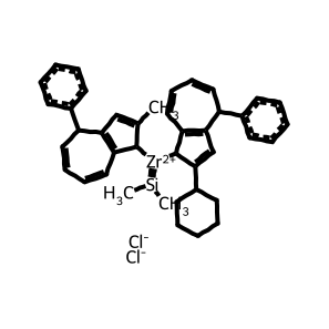 CC1=CC2=C(C=CC=CC2c2ccccc2)[CH]1[Zr+2]([CH]1C(C2CCCCC2)=CC2=C1C=CC=CC2c1ccccc1)=[Si](C)C.[Cl-].[Cl-]